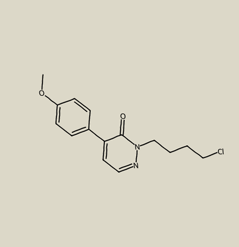 COc1ccc(-c2ccnn(CCCCCl)c2=O)cc1